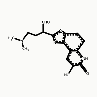 CN(C)CCC(C=O)c1nc2c(ccc3[nH]c(=O)c(C#N)cc32)s1